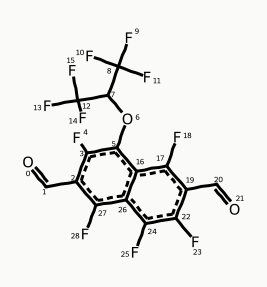 O=Cc1c(F)c(OC(C(F)(F)F)C(F)(F)F)c2c(F)c(C=O)c(F)c(F)c2c1F